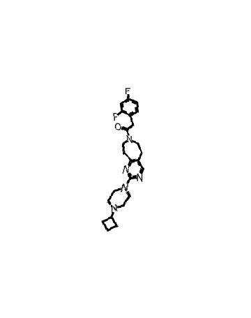 O=C(Cc1ccc(F)cc1F)N1CCc2cnc(N3CCN(C4CCC4)CC3)nc2CC1